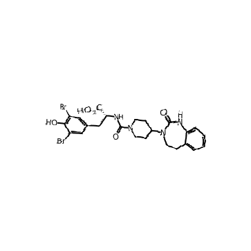 O=C(O)[C@@H](Cc1cc(Br)c(O)c(Br)c1)NC(=O)N1CCC(N2CCc3ccccc3NC2=O)CC1